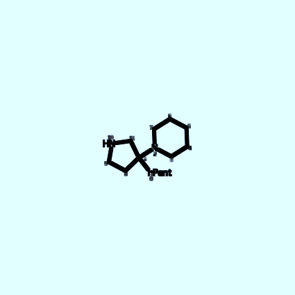 CCCCCC1(N2CCCCC2)CCNC1